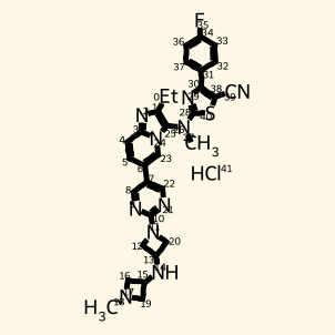 CCc1nc2ccc(-c3cnc(N4CC(NC5CN(C)C5)C4)nc3)cn2c1N(C)c1nc(-c2ccc(F)cc2)c(C#N)s1.Cl